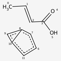 CC=CC(=O)O.c1cc2cc-2c1